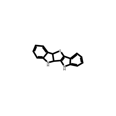 c1ccc2c(c1)NC1c3[nH]c4ccccc4c3SC21